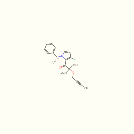 CC#CCOC(OC)(OC)C(=O)c1c(F)ccn1[C@H](C)c1ccccc1